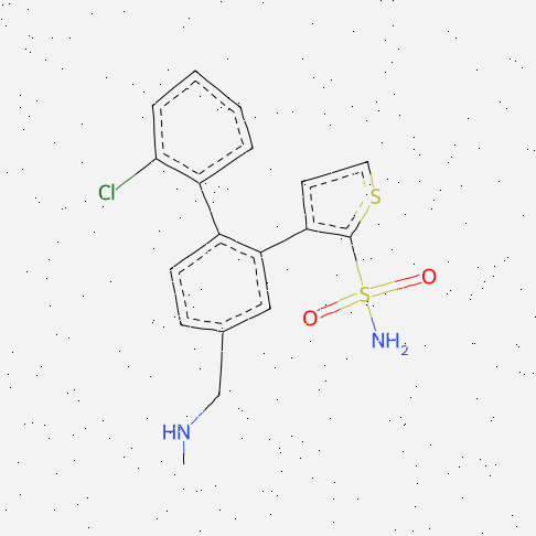 CNCc1ccc(-c2ccccc2Cl)c(-c2ccsc2S(N)(=O)=O)c1